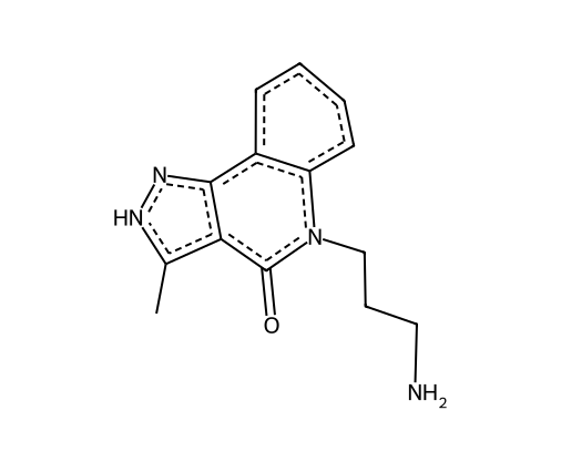 Cc1[nH]nc2c1c(=O)n(CCCN)c1ccccc21